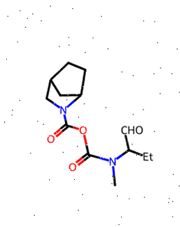 CCC(C=O)N(C)C(=O)OC(=O)N1CC2CCC1C2